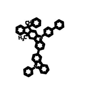 CC12Cc3c(n(-c4ccc(-c5ccccc5)cc4)c4ccc(-c5ccc6c(c5)c5ccccc5n6-c5ccccc5)cc34)C=C1C(C)(c1ccccc1)c1ccccc12